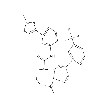 C=C(Nc1cccc(-c2csc(C)n2)c1)N1CCCN(C)c2ccc(-c3cccc(C(F)(F)F)c3)nc21